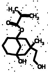 C=C(C)C(=O)OC12CCCC(O)(CC(C)(CCO)C1)C2